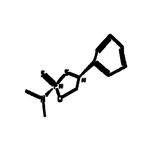 CN(C)[P@@]1(=S)OC[C@H](c2ccccc2)S1